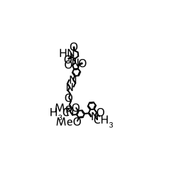 COc1cc(-c2cn(C)c(=O)c3ccccc23)cc(OC)c1CN(C)CCCOCCN1CCN(c2ccc3c(c2)C(=O)N(C2CCC(=O)NC2=O)C3=O)CC1